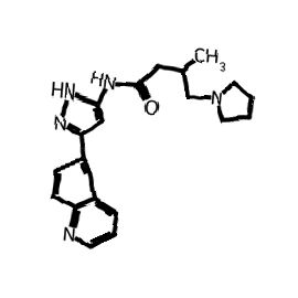 CC(CC(=O)Nc1cc(-c2ccc3ncccc3c2)n[nH]1)CN1CCCC1